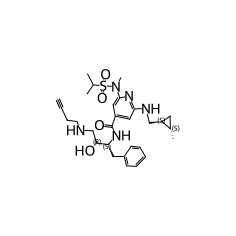 C#CCCNC[C@@H](O)[C@H](Cc1ccccc1)NC(=O)c1cc(NC[C@H]2C[C@@H]2C)nc(N(C)S(=O)(=O)C(C)C)c1